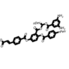 CCCCCCCCCCC(OC(=O)c1cc(N)cc(N)c1)OC(=O)c1cc(OC(=O)c2ccc(/C=C/C(=O)OC)cc2)ccc1OC(=O)c1ccc(CCCCC)cc1